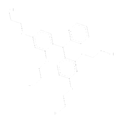 OCCOc1ccc(C(c2ccccc2)c2ccc(OCCO)cc2OCCO)c(OCCO)c1